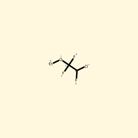 C[CH]OC(F)(F)C(F)Cl